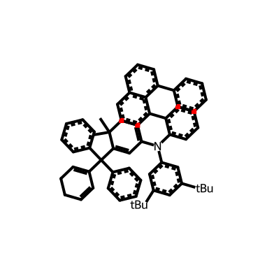 CC1(C)CC=C(N(c2cc(C(C)(C)C)cc(C(C)(C)C)c2)c2ccccc2-c2cccc3cccc(-c4ccccc4)c23)C=C1C(C1=CCCC=C1)(c1ccccc1)c1ccccc1